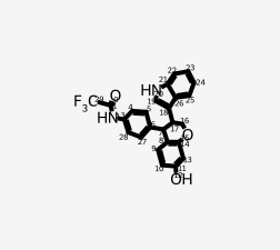 O=C(Nc1ccc(C2c3ccc(O)cc3OCC2c2c[nH]c3ccccc23)cc1)C(F)(F)F